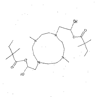 CCC(C)(C)C(=O)OC(O)CN1CCN(C)CCN(CC(O)OC(=O)C(C)(C)CC)CCN(C)CC1